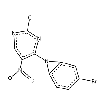 O=[N+]([O-])c1cnc(Cl)nc1N1c2ccc(Br)cc21